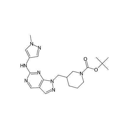 Cn1cc(Nc2ncc3cnn(CC4CCCN(C(=O)OC(C)(C)C)C4)c3n2)cn1